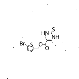 CC1=C(C(=O)OCc2ccc(Br)s2)CNC(=S)N1